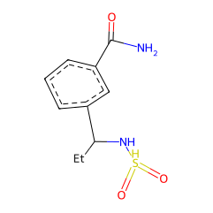 CCC(N[SH](=O)=O)c1cccc(C(N)=O)c1